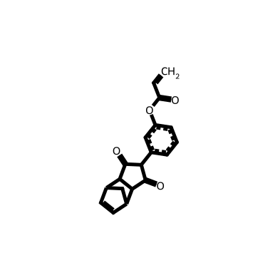 C=CC(=O)Oc1cccc(C2C(=O)C3C4C=CC(C4)C3C2=O)c1